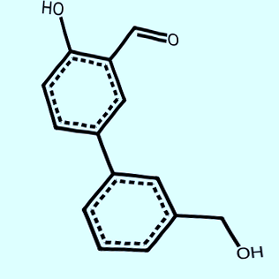 O=Cc1cc(-c2cccc(CO)c2)ccc1O